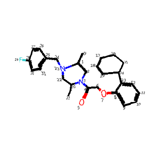 CC1CN(C(=O)COc2ccccc2C2CCCCC2)C(C)CN1Cc1ccc(F)cc1